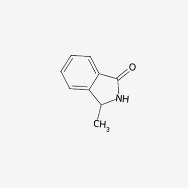 CC1NC(=O)c2ccccc21